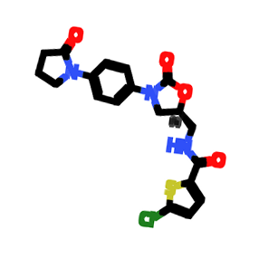 O=C(NC[C@H]1CN(c2ccc(N3CCCC3=O)cc2)C(=O)O1)c1ccc(Cl)s1